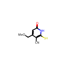 COCc1cc(=O)[nH]c(S)c1C#N